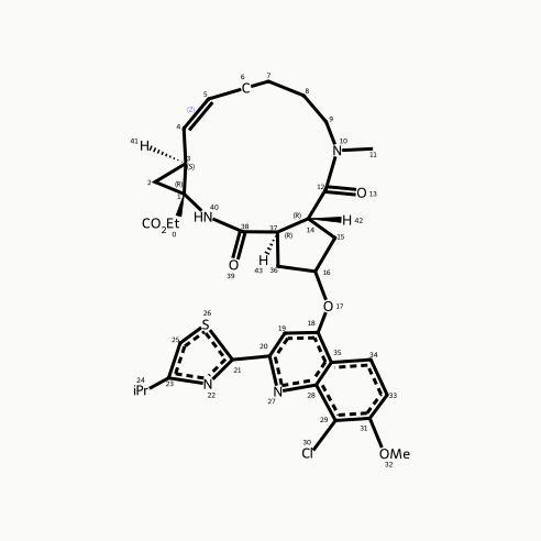 CCOC(=O)[C@@]12C[C@H]1/C=C\CCCCN(C)C(=O)[C@@H]1CC(Oc3cc(-c4nc(C(C)C)cs4)nc4c(Cl)c(OC)ccc34)C[C@H]1C(=O)N2